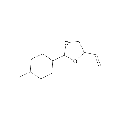 C=CC1COC(C2CCC(C)CC2)O1